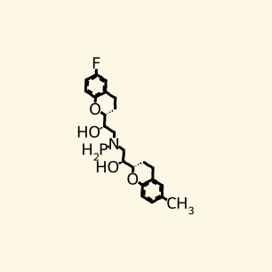 Cc1ccc2c(c1)CC[C@@H]([C@@H](O)CN(P)C[C@H](O)[C@H]1CCc3cc(F)ccc3O1)O2